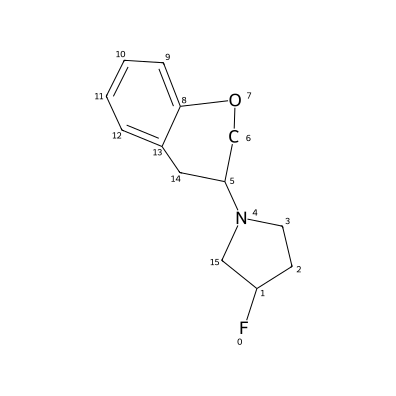 FC1CCN(C2COc3ccccc3C2)C1